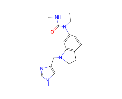 CCN(C(=O)NC)c1ccc2c(c1)N(Cc1c[nH]cn1)CC2